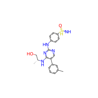 Cc1cccc(-c2cnc(Nc3ccc([SH](=N)=O)cc3)nc2N[C@H](C)CO)c1